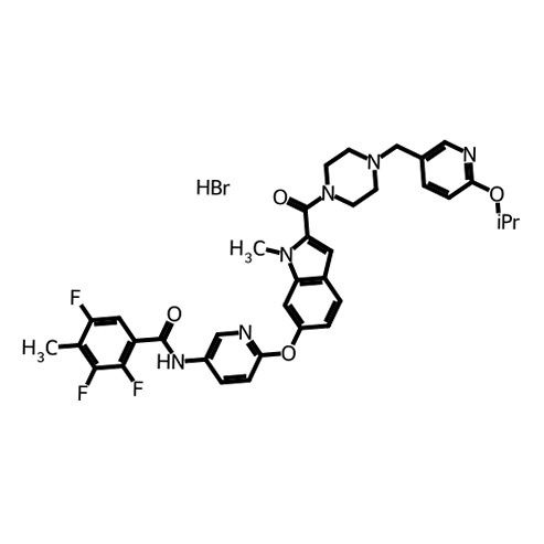 Br.Cc1c(F)cc(C(=O)Nc2ccc(Oc3ccc4cc(C(=O)N5CCN(Cc6ccc(OC(C)C)nc6)CC5)n(C)c4c3)nc2)c(F)c1F